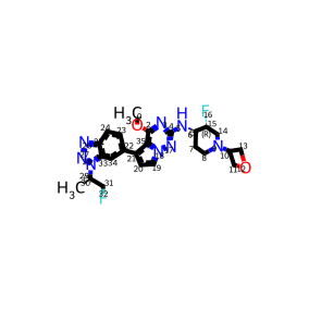 COc1nc(N[C@H]2CCN(C3COC3)C[C@H]2F)nn2ccc(-c3ccc4nnn([C@@H](C)CF)c4c3)c12